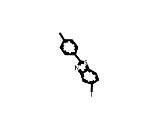 Cc1ccc(-c2nc3cc(I)ccc3s2)cc1